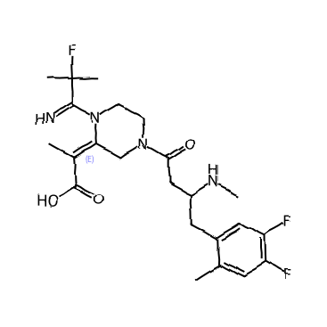 CNC(CC(=O)N1CCN(C(=N)C(C)(C)F)/C(=C(\C)C(=O)O)C1)Cc1cc(F)c(F)cc1C